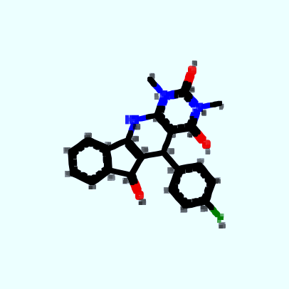 Cn1c2c(c(=O)n(C)c1=O)C(c1ccc(F)cc1)C1=C(N2)c2ccccc2C1=O